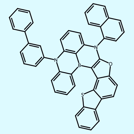 c1ccc(-c2cccc(N3c4ccccc4B4c5c3cccc5N(c3cccc5ccccc35)c3oc5ccc6c7ccccc7sc6c5c34)c2)cc1